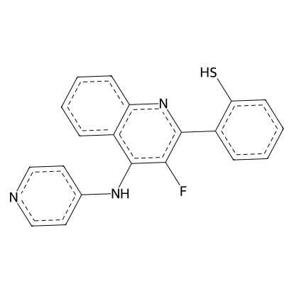 Fc1c(-c2ccccc2S)nc2ccccc2c1Nc1ccncc1